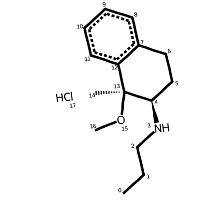 CCCN[C@@H]1CCc2ccccc2[C@]1(C)OC.Cl